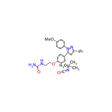 COc1ccc(-n2nc(C(C)C)cc2-c2ccc(OCCNC(N)=O)cc2)cc1.C[Si](C)(C)N=C=O